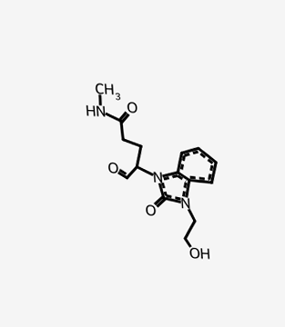 CNC(=O)CCC(C=O)n1c(=O)n(CCO)c2ccccc21